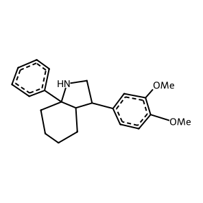 COc1ccc(C2CNC3(c4ccccc4)CCCCC23)cc1OC